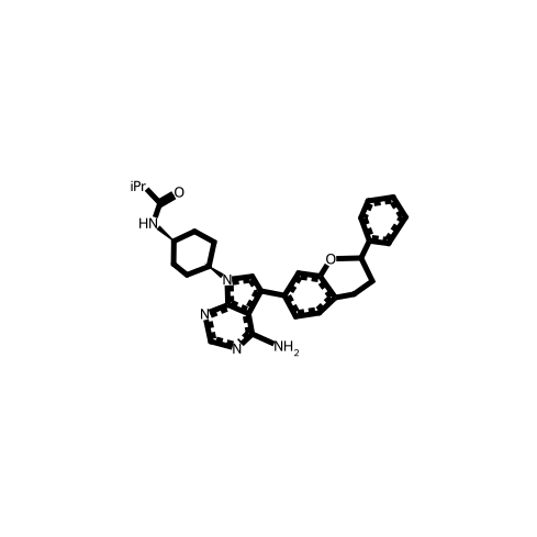 CC(C)C(=O)N[C@H]1CC[C@@H](n2cc(-c3ccc4c(c3)OC(c3ccccc3)CC4)c3c(N)ncnc32)CC1